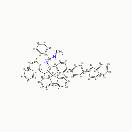 C=N/C(=N\C1=C(Cc2cccc3ccccc23)C2(c3cc(-c4ccc(-c5ccc6ccccc6c5)cc4)ccc31)c1ccccc1-c1ccccc12)c1ccccc1